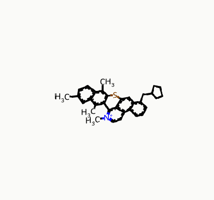 Cc1ccc2c(C)c3c(c(C)c2c1)-c1c2c(cc4c(CC5CCCC5)cccc4c2cc[n+]1C)S3